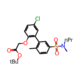 CCCN(C)S(=O)(=O)c1ccc(C)c(-c2cc(Cl)ccc2OCC(=O)OC(C)(C)C)c1